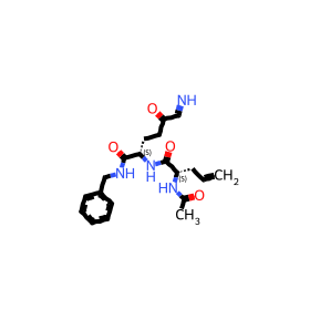 C=CC[C@H](NC(C)=O)C(=O)N[C@@H](CCC(=O)C=N)C(=O)NCc1ccccc1